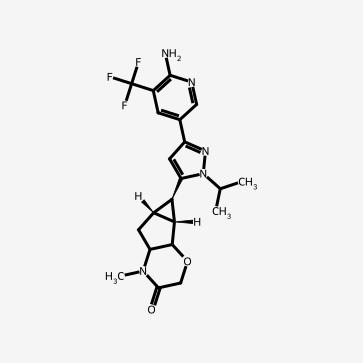 CC(C)n1nc(-c2cnc(N)c(C(F)(F)F)c2)cc1[C@@H]1[C@H]2CC3C(OCC(=O)N3C)[C@H]21